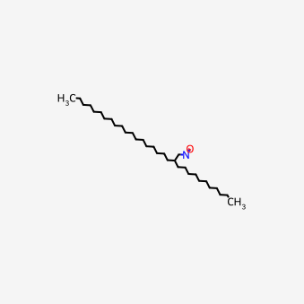 CCCCCCCCCCCCCCCCCCCC(CCCCCCCCCCC)CN=O